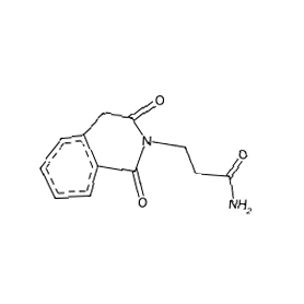 NC(=O)CCN1C(=O)Cc2ccccc2C1=O